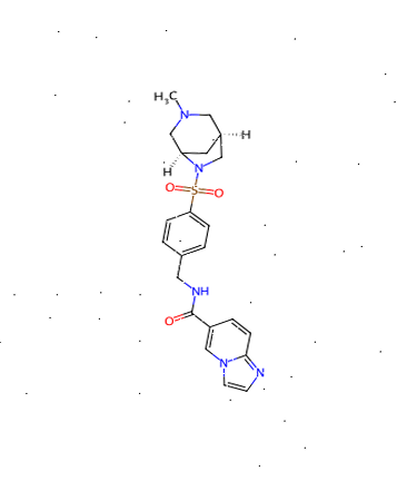 CN1C[C@@H]2C[C@H](C1)N(S(=O)(=O)c1ccc(CNC(=O)c3ccc4nccn4c3)cc1)C2